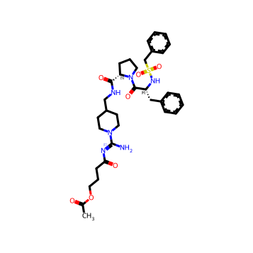 CC(=O)OCCCC(=O)/N=C(\N)N1CCC(CNC(=O)[C@@H]2CCCN2C(=O)[C@@H](Cc2ccccc2)NS(=O)(=O)Cc2ccccc2)CC1